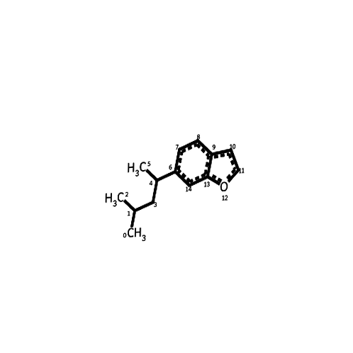 CC(C)CC(C)c1ccc2ccoc2c1